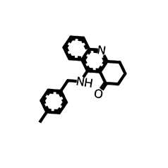 Cc1ccc(CNc2c3c(nc4ccccc24)CCCC3=O)cc1